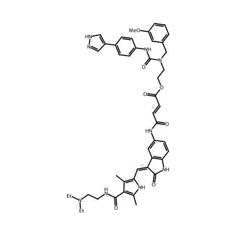 CCN(CC)CCNC(=O)c1c(C)[nH]c(/C=C2\C(=O)Nc3ccc(NC(=O)/C=C/C(=O)OCCN(Cc4cccc(OC)c4)C(=O)Nc4ccc(-c5cn[nH]c5)cc4)cc32)c1C